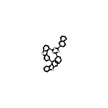 c1ccc(-c2nc(-c3ccc4ccccc4c3)nc(-c3cccc4oc5ccc(-c6cccc7oc8ccccc8c67)cc5c34)n2)cc1